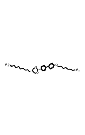 C=CCCCCCCCC[C@H]1CO[C@H](c2ccc(-c3ccc(OCCCCCCCC)cc3)cc2)OC1